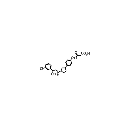 O=C(O)CC(=O)OOc1ccc(C2CCC(NCC(O)c3cccc(Cl)c3)C2)cc1